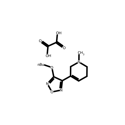 CCCCOc1nonc1C1=CCCN(C)C1.O=C(O)C(=O)O